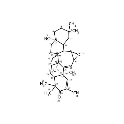 CC1(C)CC[C@]2(C#N)CC[C@]3(C)C(C4OC4C=C4[C@@]5(C)C=C(C#N)C(=O)C(C)(C)C5CC[C@]43C)C2C1